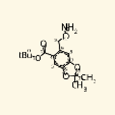 CC(C)(C)OC(=O)c1cc2c(cc1CON)OC(C)(C)O2